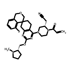 C=CC(=O)N1CCN(c2nc(OC[C@@H]3CCCN3C)nc3c2CCC2(COCc4cccc(F)c42)C3)C[C@@H]1CC#N